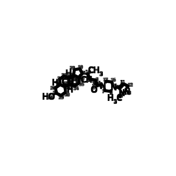 CC(CCC(=O)N1CCN(c2ccnn2C)CC1)[C@H]1CC[C@H]2[C@@H]3CC[C@H]4C[C@@H](O)CC[C@]4(C)[C@H]3CC[C@]12C